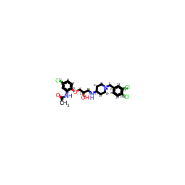 CC(=O)Nc1cc(Cl)ccc1OCC(O)CNC1CCN(Cc2ccc(Cl)c(Cl)c2)CC1